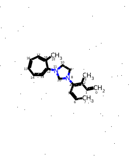 C=C/C(C)=C(\C=C/C)N1CCN(C2=C=CC=CC=C2C)C1